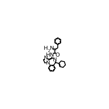 N[C@@H](Cc1ccccc1)C(=O)NC1=C2N=CCN2c2ccccc2C(C2=CCCCC2)=N1